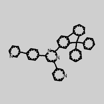 c1ccc(C2(c3ccccc3)c3ccccc3-c3ccc(-c4nc(-c5ccc(-c6cccnc6)cc5)cc(-c5cccnc5)n4)cc32)cc1